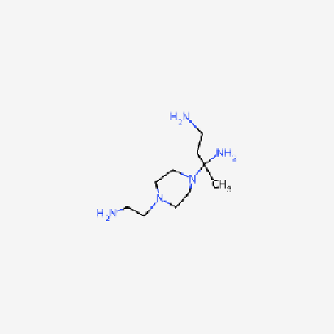 CC(N)(CCN)N1CCN(CCN)CC1